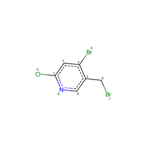 Clc1cc(Br)c(CBr)cn1